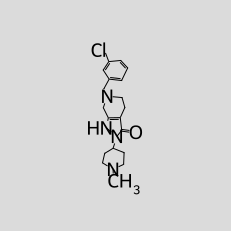 CN1CCC(n2[nH]c3c(c2=O)CCN(Cc2cccc(Cl)c2)C3)CC1